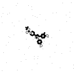 COc1ccc(-n2nc(C3CCN(C(=O)OC(C)(C)C)CC3)cc2-c2ccc(OC)c(C)c2)cc1